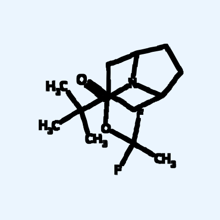 CC(F)(F)OC(=O)N1C2CCC1CC(C(C)(C)C)C2